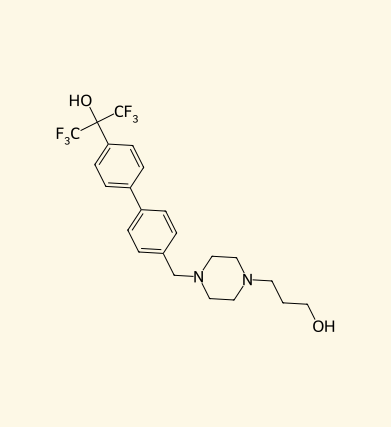 OCCCN1CCN(Cc2ccc(-c3ccc(C(O)(C(F)(F)F)C(F)(F)F)cc3)cc2)CC1